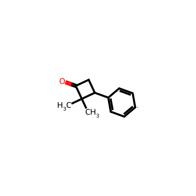 CC1(C)C(=O)CC1c1cc[c]cc1